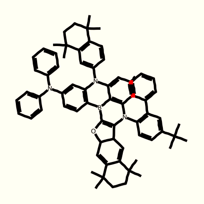 Cc1cc2c3c(c1)N(c1ccc4c(c1)C(C)(C)CCC4(C)C)c1cc(N(c4ccccc4)c4ccccc4)ccc1B3C1=C(C3C=C4C(=CC3O1)C(C)(C)CCC4(C)C)N2c1ccc(C(C)(C)C)cc1-c1ccccc1